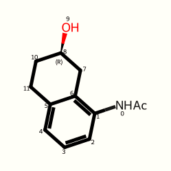 CC(=O)Nc1cccc2c1C[C@H](O)CC2